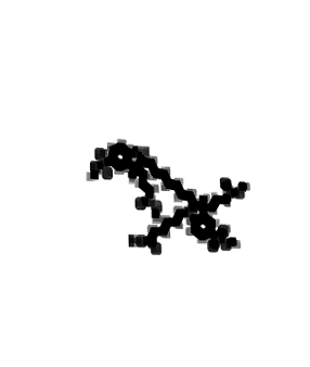 COS(=O)CCCC1(C)C(/C=C/C=C/C=C/C=C2/Nc3ccc(S(=O)(=O)OC)cc3C2(C)CCCS(=O)OC)=[N+](CCCCCC(=O)O)c2ccc(S(=O)(=O)OC)cc21